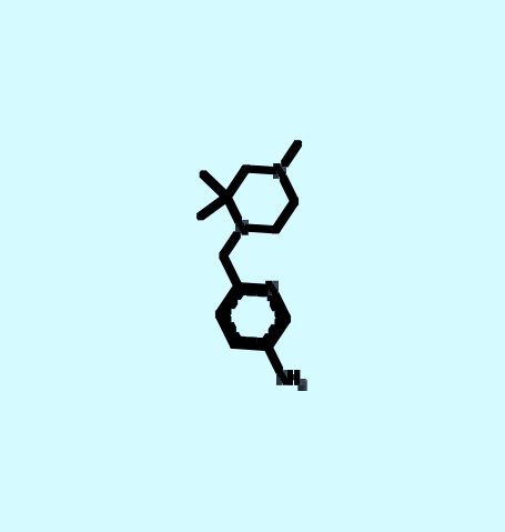 CN1CCN(Cc2ccc(N)cn2)C(C)(C)C1